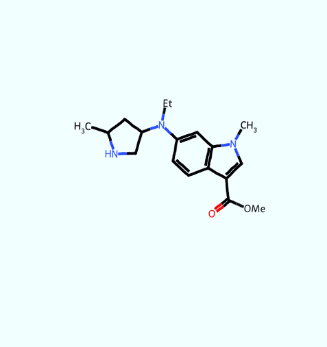 CCN(c1ccc2c(C(=O)OC)cn(C)c2c1)C1CNC(C)C1